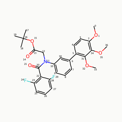 COc1ccc(-c2cccc(N(CC(=O)OC(C)(C)C)C(=O)c3c(F)cccc3F)c2)c(OC)c1OC